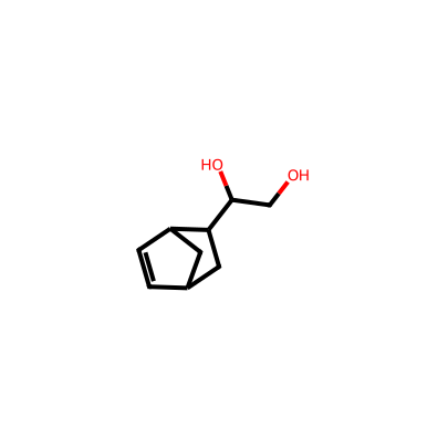 OCC(O)C1CC2C=CC1C2